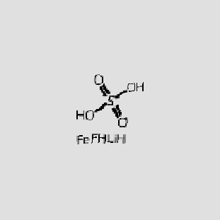 F.O=S(=O)(O)O.[Fe].[LiH]